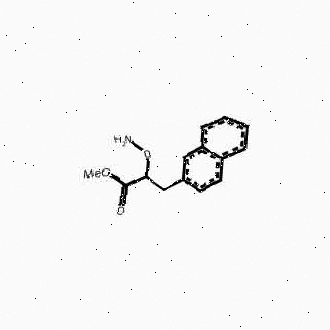 COC(=O)C(Cc1ccc2ccccc2c1)ON